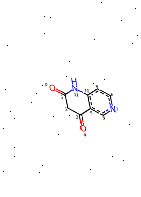 O=C1CC(=O)c2cnccc2N1